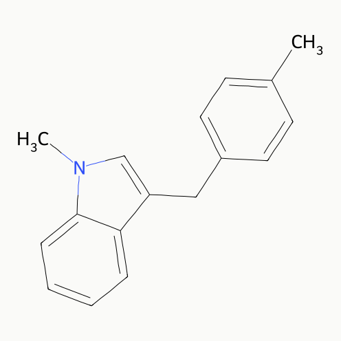 Cc1ccc(Cc2cn(C)c3ccccc23)cc1